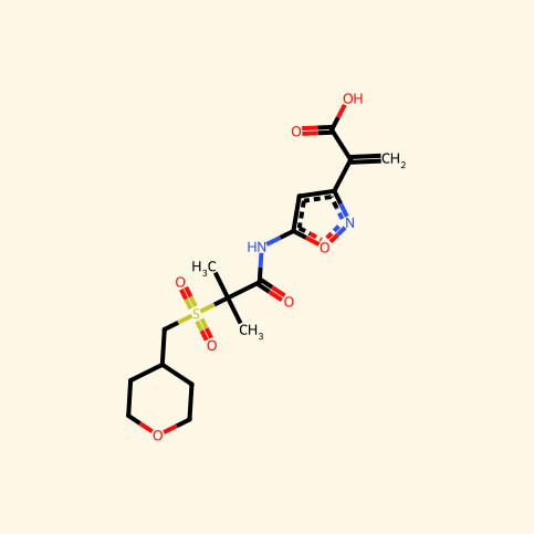 C=C(C(=O)O)c1cc(NC(=O)C(C)(C)S(=O)(=O)CC2CCOCC2)on1